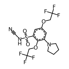 N#CNS(=O)(=O)c1cc(OCC(F)(F)F)cc(N2CCCC2)c1OCC(F)(F)F